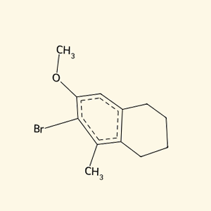 COc1cc2c(c(C)c1Br)CCCC2